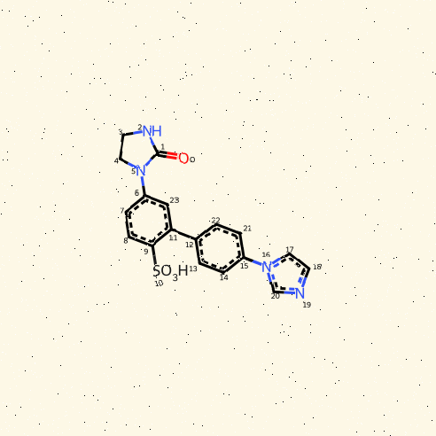 O=C1NCCN1c1ccc(S(=O)(=O)O)c(-c2ccc(-n3ccnc3)cc2)c1